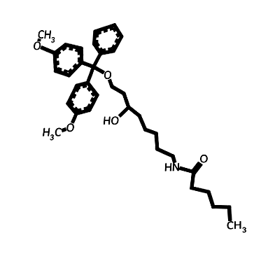 CCCCCC(=O)NCCCCCC(O)CCOC(c1ccccc1)(c1ccc(OC)cc1)c1ccc(OC)cc1